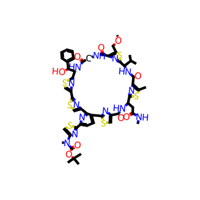 CNC(=O)CC1NC(=O)c2csc(n2)-c2ccc(-c3nc(N(C)C(=O)OC(C)(C)C)cs3)nc2-c2csc(n2)-c2csc(n2)C(C(O)c2ccccc2)NC(=O)CNC(=O)c2nc(sc2COC)C(C(C)C)NC(=O)c2nc1sc2C